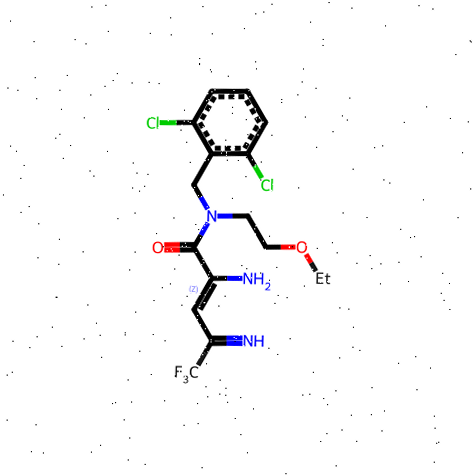 CCOCCN(Cc1c(Cl)cccc1Cl)C(=O)/C(N)=C/C(=N)C(F)(F)F